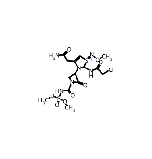 CO/N=S1/C=C(CC(N)=O)N(C2CN(C(=O)NP(=O)(OC)OC)C2=O)C1NC(=O)CCl